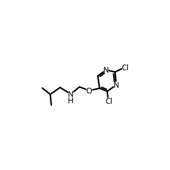 CC(C)CNCOc1cnc(Cl)nc1Cl